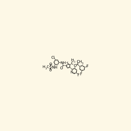 Cc1sc(C(=O)Nc2cc(Cl)cc(NS(C)(=O)=O)c2)cc1-c1ncc(F)cc1O[C@@H](C)c1cc(F)cc(F)c1